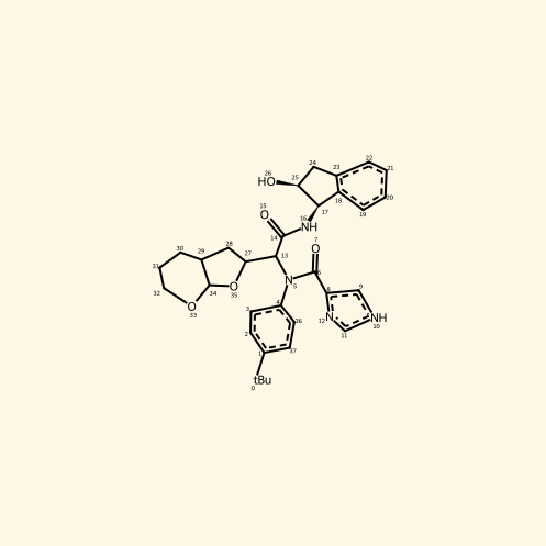 CC(C)(C)c1ccc(N(C(=O)c2c[nH]cn2)C(C(=O)N[C@@H]2c3ccccc3C[C@@H]2O)C2CC3CCCOC3O2)cc1